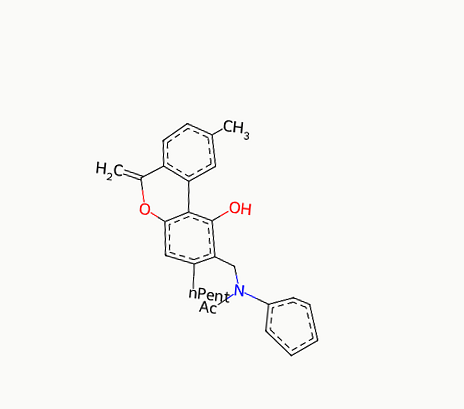 C=C1Oc2cc(CCCCC)c(CN(C(C)=O)c3ccccc3)c(O)c2-c2cc(C)ccc21